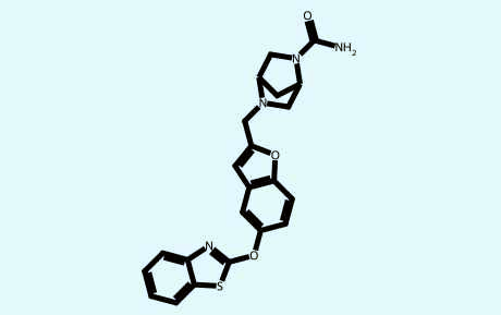 NC(=O)N1CC2CC1CN2Cc1cc2cc(Oc3nc4ccccc4s3)ccc2o1